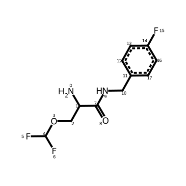 NC(COC(F)F)C(=O)NCc1ccc(F)cc1